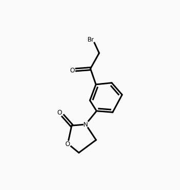 O=C(CBr)c1cccc(N2CCOC2=O)c1